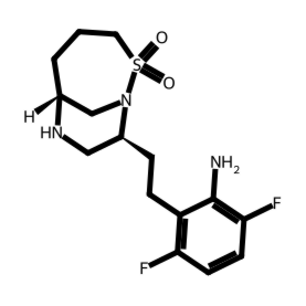 Nc1c(F)ccc(F)c1CC[C@H]1CN[C@@H]2CCCS(=O)(=O)N1C2